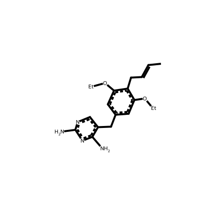 CC=CCc1c(OCC)cc(Cc2cnc(N)nc2N)cc1OCC